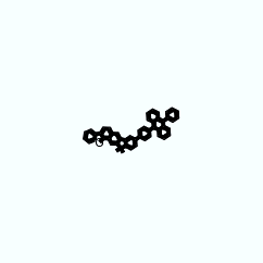 CC1(C)c2ccc(-c3ccc(-c4c5ccccc5c(-c5ccccc5)c5ccccc45)cc3)cc2-c2cc3ccc4c5ccccc5oc4c3cc21